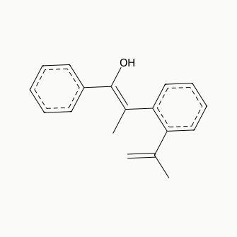 C=C(C)c1ccccc1C(C)=C(O)c1ccccc1